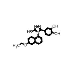 CCOc1ccc2c(-n3c(S)nnc3-c3ccc(O)c(O)c3)cccc2c1